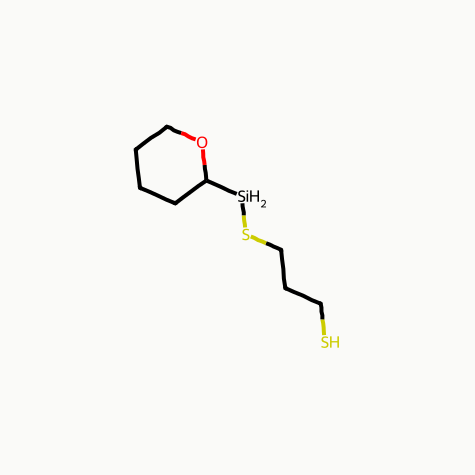 SCCCS[SiH2]C1CCCCO1